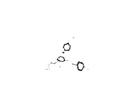 CCOc1ccc(C(=O)Oc2ccc(C(O)CNC(C)(C)C)cc2OC(=O)c2ccc(OCC)cc2)cc1